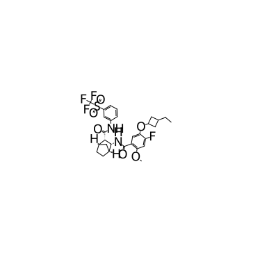 CCC1CC(Oc2cc(C(=O)N[C@@H]3[C@@H]4CC[C@@H](C4)[C@@H]3C(=O)Nc3cccc(S(=O)(=O)C(F)(F)F)c3)c(OC)cc2F)C1